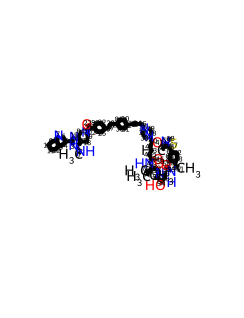 CNc1nc(-c2cnc3ccccc3c2)nc2c1CCN(C(=O)c1ccc(/C=C/c3ccc(C#CCN4CCN(C(=O)CCCC(=O)N[C@H](C(=O)N5C[C@H](O)C[C@H]5C(=O)N[C@@H](C)c5ccc(-c6scnc6C)cc5)C(C)(C)C)CC4)cc3)cc1)C2